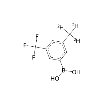 [2H]C([2H])([2H])c1cc(B(O)O)cc(C(F)(F)F)c1